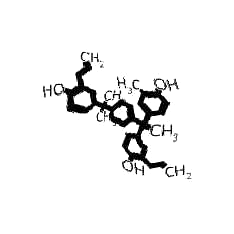 C=CCc1cc(C(C)(C)c2ccc(C(C)(c3ccc(O)c(C)c3)c3ccc(O)c(CC=C)c3)cc2)ccc1O